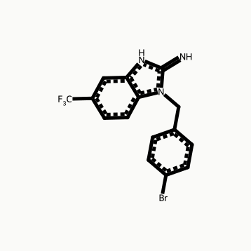 N=c1[nH]c2cc(C(F)(F)F)ccc2n1Cc1ccc(Br)cc1